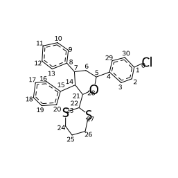 Clc1ccc(C2CC(c3ccccc3)C(c3ccccc3)C(C3SCCCS3)O2)cc1